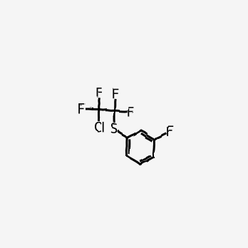 Fc1cccc(SC(F)(F)C(F)(F)Cl)c1